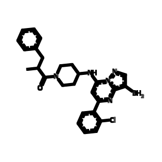 Bc1cnn2c(NC3CCN(C(=O)C(C)Cc4ccccc4)CC3)cc(-c3ccccc3Cl)nc12